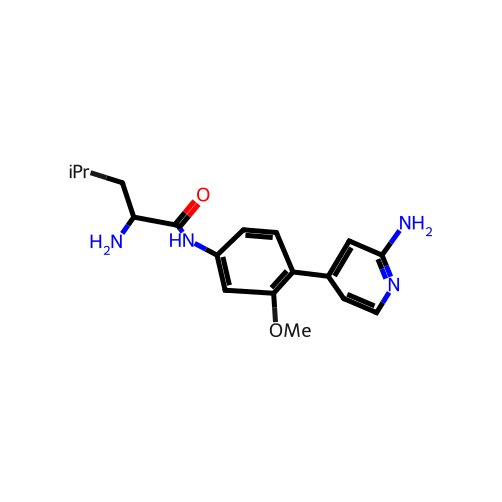 COc1cc(NC(=O)C(N)CC(C)C)ccc1-c1ccnc(N)c1